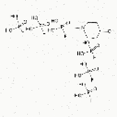 CN1CCC(=O)CC1.O=P(O)(O)F.O=P(O)(O)F.O=P(O)(O)F.O=P(O)(O)F.O=P(O)(O)F.O=P(O)(O)F